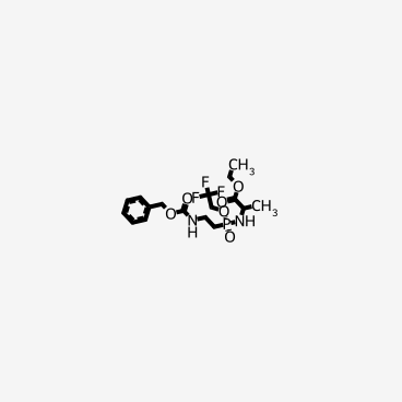 CCOC(=O)C(C)NP(=O)(CCNC(=O)OCc1ccccc1)OCC(F)(F)F